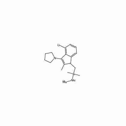 [Li][c]1cccc2c1C(N1CCCC1)=C(C)C2C[Si](C)(C)NC(C)(C)C